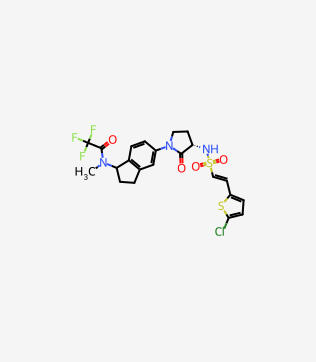 CN(C(=O)C(F)(F)F)C1CCc2cc(N3CC[C@H](NS(=O)(=O)/C=C/c4ccc(Cl)s4)C3=O)ccc21